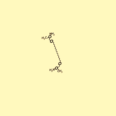 CCc1cc(N)ccc1Cc1ccc(CCCCCCCCCCCCCCCCCc2ccc(Cc3ccc(N)cc3CC)cc2)cc1